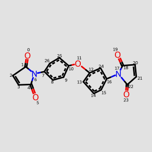 O=C1C=CC(=O)N1c1ccc(Oc2cccc(N3C(=O)C=CC3=O)c2)cc1